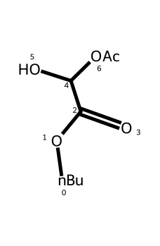 CCCCOC(=O)C(O)OC(C)=O